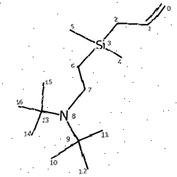 C=CC[Si](C)(C)CCN(C(C)(C)C)C(C)(C)C